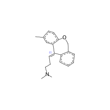 Cc1ccc2c(c1)/C(=C/CCN(C)C)c1ccccc1CO2